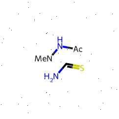 CNNC(C)=O.NC=S